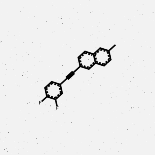 Cc1ccc2cc(C#Cc3ccc(F)c(F)c3)ccc2c1